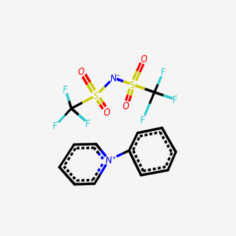 O=S(=O)([N-]S(=O)(=O)C(F)(F)F)C(F)(F)F.c1ccc(-[n+]2ccccc2)cc1